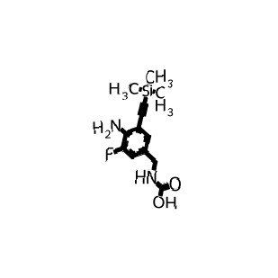 C[Si](C)(C)C#Cc1cc(CNC(=O)O)cc(F)c1N